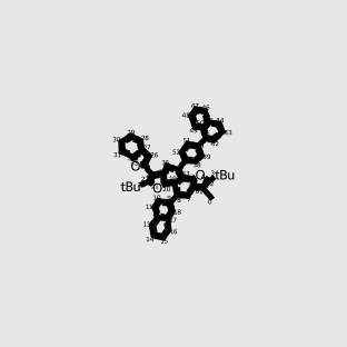 Cc1c(C(C)(C)C)oc2c1cc(-c1ccc3ccccc3c1)c1c3oc(C(C)(C)C)c(-c4cc5ccccc5o4)c3cc(-c3ccc(-c4cccc5ccccc45)cc3)c21